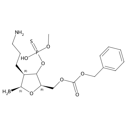 B[C@@H]1O[C@H](COC(=O)OCc2ccccc2)C(OP(O)(=S)OC)[C@@H]1CCCN